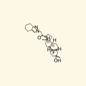 C[C@@]1(O)CC[C@@]2(F)[C@H](CC[C@H]3[C@@H]4CC[C@H](C(=O)Cn5cc6c(n5)CCCC6)[C@@]4(C)CC[C@@H]32)C1